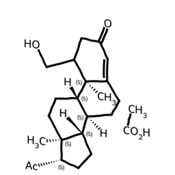 CC(=O)O.CC(=O)[C@H]1CC[C@H]2[C@@H]3CCC4=CC(=O)CC(CO)[C@]4(C)[C@H]3CC[C@]12C